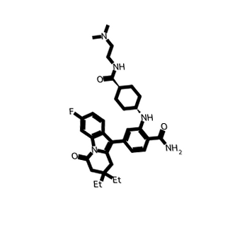 CCC1(CC)CC(=O)n2c(c(-c3ccc(C(N)=O)c(N[C@H]4CC[C@H](C(=O)NCCN(C)C)CC4)c3)c3ccc(F)cc32)C1